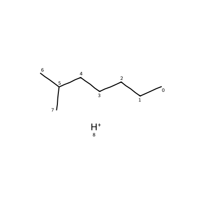 CCCCCC(C)C.[H+]